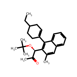 CCC1CC=C(c2c([C@H](OC(C)(C)C)C(C)=O)c(C)cc3ccccc23)CC1